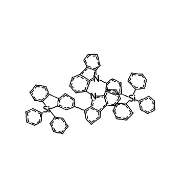 c1ccc([Si](c2ccccc2)(c2ccccc2)c2ccc(-n3c4ccccc4c4cccc(-n5c6ccccc6c6cccc(-c7ccc8c(c7)[Si](c7ccccc7)(c7ccccc7)c7ccccc7-8)c65)c43)cc2)cc1